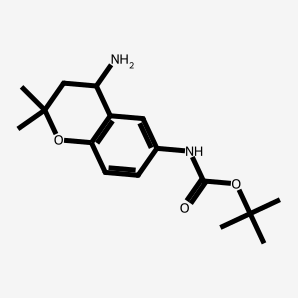 CC(C)(C)OC(=O)Nc1ccc2c(c1)C(N)CC(C)(C)O2